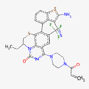 C=CC(=O)N1CCN(c2nc(=O)n3c4c(c(-c5cccc6sc(N)c(C#N)c56)c(C(F)(F)F)cc24)SCC3CC)CC1